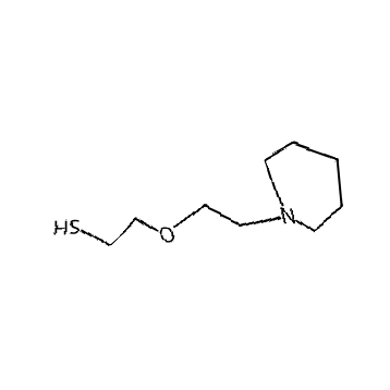 SCCOCCN1CCCCC1